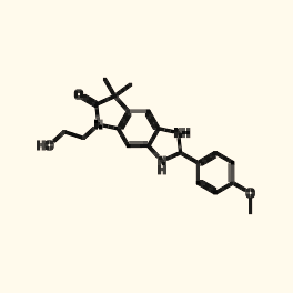 COc1ccc(C2Nc3cc4c(cc3N2)C(C)(C)C(=O)N4CCO)cc1